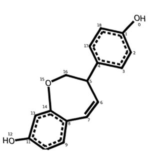 Oc1ccc(C2C=Cc3ccc(O)cc3OC2)cc1